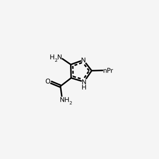 CCCc1nc(N)c(C(N)=O)[nH]1